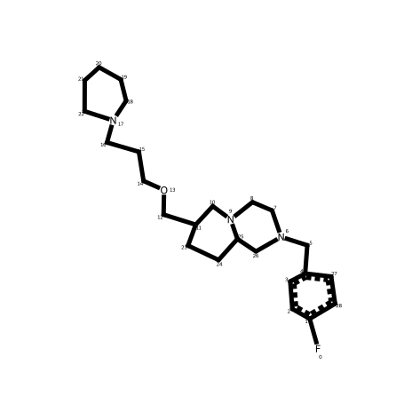 Fc1ccc(CN2CCN3CC(COCCCN4CCCCC4)CCC3C2)cc1